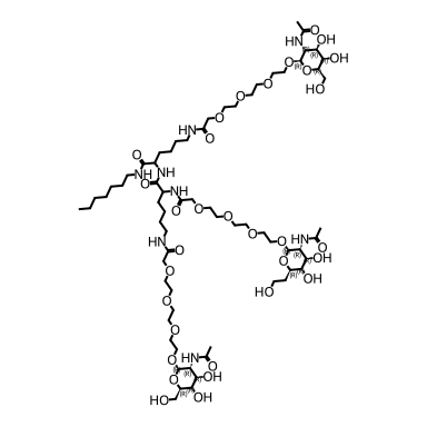 CCCCCCCNC(=O)C(CCCCNC(=O)COCCOCCOCCO[C@@H]1O[C@H](CO)[C@H](O)[C@H](O)[C@H]1NC(C)=O)NC(=O)C(CCCCNC(=O)COCCOCCOCCO[C@@H]1O[C@H](CO)[C@H](O)[C@H](O)[C@H]1NC(C)=O)NC(=O)COCCOCCOCCO[C@@H]1O[C@H](CCO)[C@H](O)[C@H](O)[C@H]1NC(C)=O